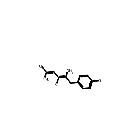 C/C(Cl)=C\C(Cl)=C(/N)Cc1ccc(Cl)cc1